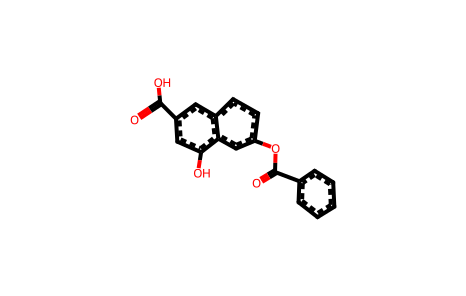 O=C(O)c1cc(O)c2cc(OC(=O)c3ccccc3)ccc2c1